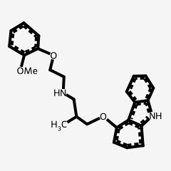 COc1ccccc1OCCNCC(C)COc1cccc2[nH]c3ccccc3c12